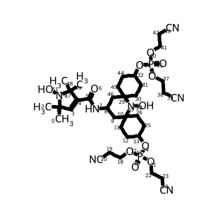 CC1(C)C=C(C(=O)NC2CC3(CCC(OP(=O)(OCCC#N)OCCC#N)CC3)N(O)C3(CCC(OP(=O)(OCCC#N)OCCC#N)CC3)C2)C(C)(C)N1O